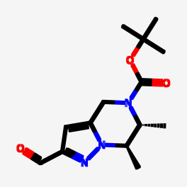 C[C@@H]1[C@@H](C)n2nc(C=O)cc2CN1C(=O)OC(C)(C)C